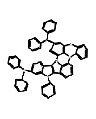 c1ccc(N(c2ccccc2)c2cc3c4c(c2)-n2c5c(cccc5c5c2c2ccc(N(c6ccccc6)c6ccccc6)cc2n5-c2ccccc2)B4c2ccccc2S3)cc1